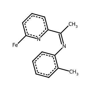 CC(=Nc1ccccc1C)c1ccc[c]([Fe])n1